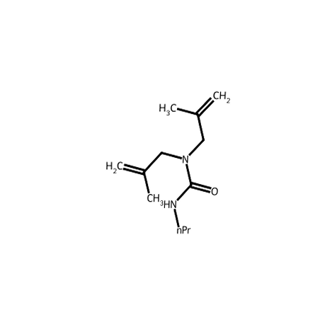 C=C(C)CN(CC(=C)C)C(=O)NCCC